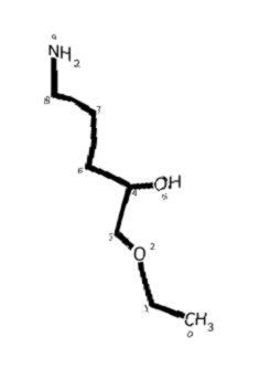 CCOCC(O)CCCN